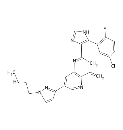 C=Cc1ncc(-c2ccn(CCNC)n2)cc1/N=C(\C)c1nc[nH]c1-c1cc(Cl)ccc1F